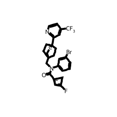 O=C(N(CC12CCC(c3cc(C(F)(F)F)ccn3)(CC1)CC2)c1cccc(Br)c1)C12CC(F)(C1)C2